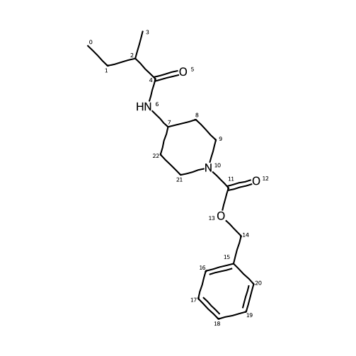 CCC(C)C(=O)NC1CCN(C(=O)OCc2ccccc2)CC1